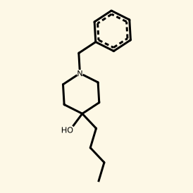 CCCCC1(O)CCN(Cc2ccccc2)CC1